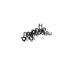 COC(=O)C(c1ccccc1)C1CCCCN1C(=O)c1ccc(OC(=O)NC(=O)OC(C)(C)C)cc1